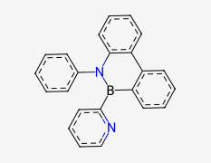 c1ccc(N2B(c3ccccn3)c3ccccc3-c3ccccc32)cc1